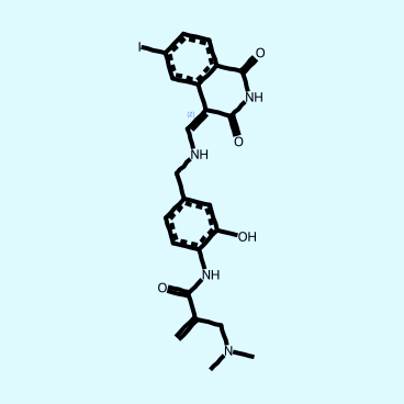 C=C(CN(C)C)C(=O)Nc1ccc(CN/C=C2\C(=O)NC(=O)c3ccc(I)cc32)cc1O